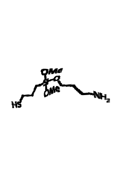 CO[Si](CCCS)(OC)OCCCN